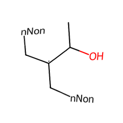 CCCCCCCCCC[C](CCCCCCCCCC)C(C)O